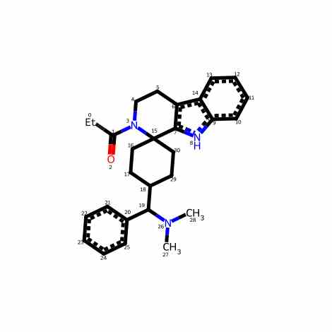 CCC(=O)N1CCc2c([nH]c3ccccc23)C12CCC(C(c1ccccc1)N(C)C)CC2